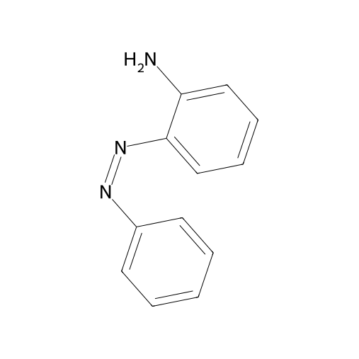 Nc1ccccc1/N=N\c1ccccc1